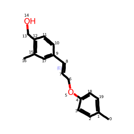 Cc1ccc(OC/C=C/c2ccc(CO)c(C)c2)cc1